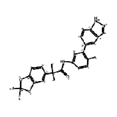 Cc1ccc(NC(=O)C(C)(C)c2ccc3c(c2)OC(F)(F)O3)nc1-c1ccc2[nH]ncc2c1